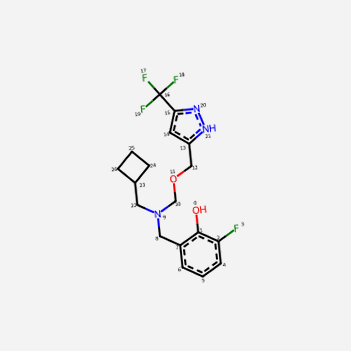 Oc1c(F)cccc1CN(COCc1cc(C(F)(F)F)n[nH]1)CC1CCC1